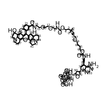 CC(C)(CCOC(=O)NCCOCCOCCNC(=O)c1ccc(C(=O)O)c(C2=c3cc4c5c(c3Oc3c2cc2c6c3CCCN6CCC2)CCC[N+]=5CCC4)c1)SSCOCCCCOC(=O)NC#Cc1cn(C2CO[C@H](COP(=O)(O)OP(=O)(O)OP(=O)(O)O)C2)c2ncnc(N)c12